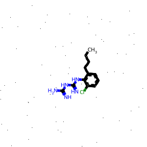 CCCCc1cccc(Cl)c1NC(=N)NC(=N)N